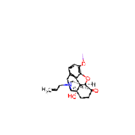 C=CCN1CC[C@]23c4c5ccc(OI)c4O[C@H]2C(=O)CC[C@@]3(O)C1C5